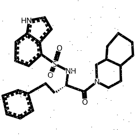 O=C([C@H](CCc1ccccc1)NS(=O)(=O)c1cccc2[nH]ccc12)N1CCC2CCCCC2C1